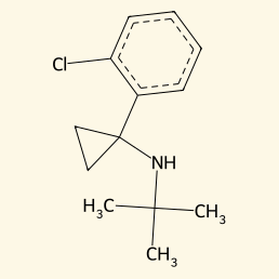 CC(C)(C)NC1(c2ccccc2Cl)CC1